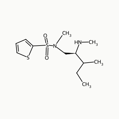 CCC(C)[C@@H](CN(C)S(=O)(=O)c1cccs1)NC